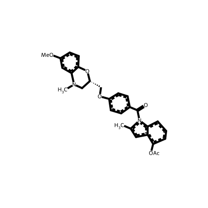 COc1ccc2c(c1)N(C)C[C@@H](COc1ccc(C(=O)n3c(C)cc4c(OC(C)=O)cccc43)cc1)O2